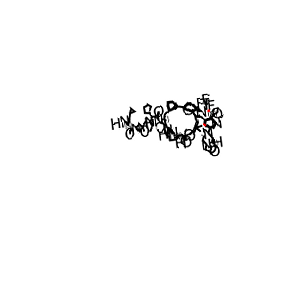 CO[C@@H](C)c1ncc(N2CCN3CCOC[C@@H]3C2)cc1-c1c2c3cc(ccc3n1CC(F)(F)F)-c1cccc(c1)C[C@H](NC(=O)C(C1CCCC1)N1CCOC3(CN(C(=O)[C@@H]4NC4C4CC4)C3)C1)C(=O)N1CCC[C@H](N1)C(=O)OCC(C)(C)C2